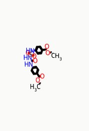 CCOC(=O)c1ccc(NC(=O)NS(=O)(=O)Nc2ccc(C(=O)OCC)cc2)cc1